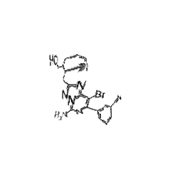 N#Cc1cccc(-c2nc(N)n3nc(Cc4ncccc4CO)nc3c2Br)c1